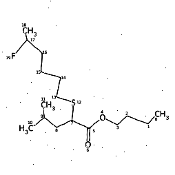 CCCCOC(=O)C(CC(C)C)SCCCCC(C)F